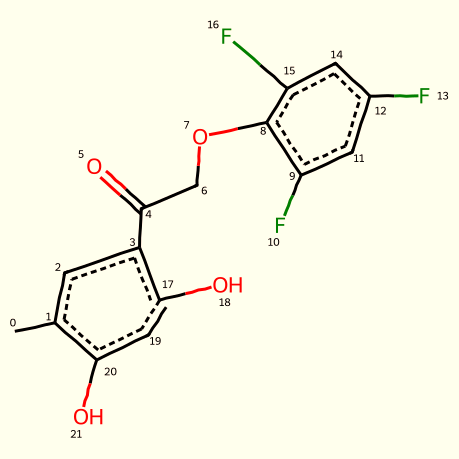 Cc1cc(C(=O)COc2c(F)cc(F)cc2F)c(O)cc1O